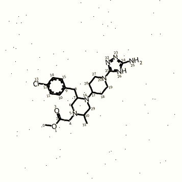 COC(=O)CN1CC(Cc2ccc(Cl)cc2)N(C2CCN(c3nnc(N)[nH]3)CC2)CC1C